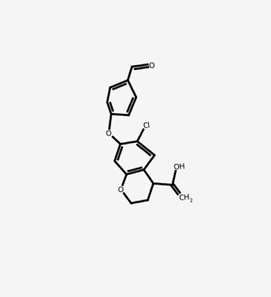 C=C(O)C1CCOc2cc(Oc3ccc(C=O)cc3)c(Cl)cc21